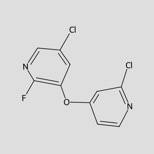 Fc1ncc(Cl)cc1Oc1ccnc(Cl)c1